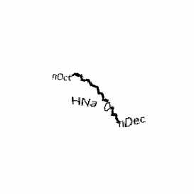 CCCCCCCC/C=C\CCCCCCCCOCCCCCCCCCCCCCC.[NaH]